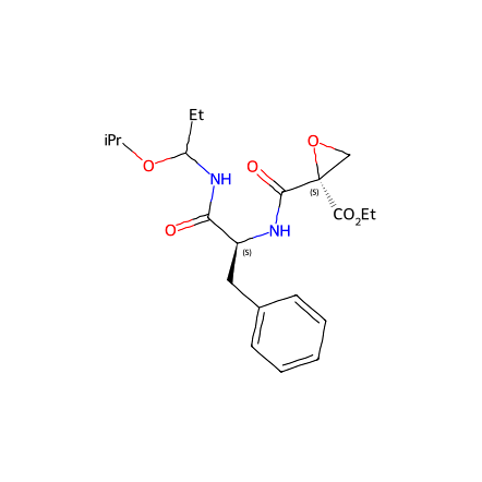 CCOC(=O)[C@@]1(C(=O)N[C@@H](Cc2ccccc2)C(=O)NC(CC)OC(C)C)CO1